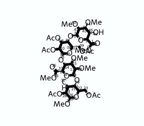 COC(=O)C1O[C@@H](O[C@H]2C(OC(C)=O)C(OC(C)=O)[C@@H](O[C@H]3C(OC)C(OC)[C@@H](O[C@@H]4C(COC(C)=O)O[C@@H](OC)C(OC(C)=O)[C@H]4C)O[C@H]3C(=O)OC)O[C@H]2COC(C)=O)C(OC)[C@H](OC)[C@@H]1O